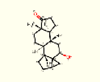 C[C@]12CC[C@H]3[C@@H](C[C@@H](O)C45CC4CC[C@]35C)[C@@H]1CCC2=O